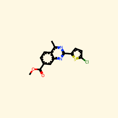 COC(=O)c1ccc2c(C)nc(-c3ccc(Cl)s3)nc2c1